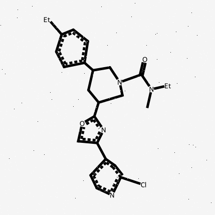 CCc1ccc(C2CC(c3nc(-c4ccnc(Cl)c4)co3)CN(C(=O)N(C)CC)C2)cc1